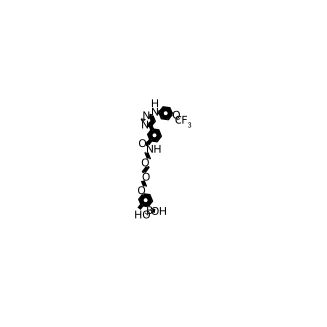 Cc1cc(OCCOCCOCCNC(=O)c2cccc(-c3cc(Nc4ccc(OC(F)(F)F)cc4)ncn3)c2)ccc1B(O)O